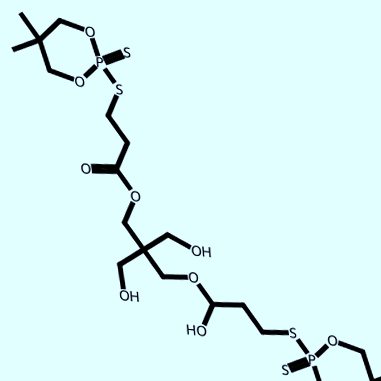 CC1(C)COP(=S)(SCCC(=O)OCC(CO)(CO)COC(O)CCSP2(=S)OCC(C)(C)CO2)OC1